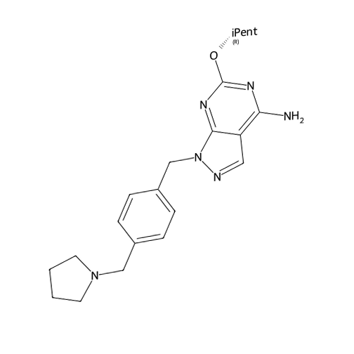 CCC[C@@H](C)Oc1nc(N)c2cnn(Cc3ccc(CN4CCCC4)cc3)c2n1